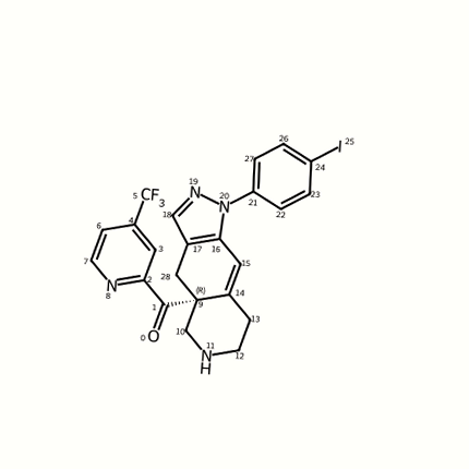 O=C(c1cc(C(F)(F)F)ccn1)[C@@]12CNCCC1=Cc1c(cnn1-c1ccc(I)cc1)C2